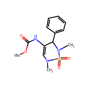 CN1C=C(NC(=O)OC(C)(C)C)C(c2ccccc2)N(C)S1(=O)=O